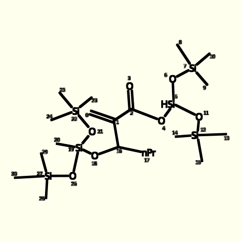 C=C(C(=O)O[SiH](O[Si](C)(C)C)O[Si](C)(C)C)C(CCC)O[Si](C)(O[Si](C)(C)C)O[Si](C)(C)C